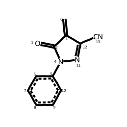 C=C1C(=O)N(c2ccccc2)N=C1C#N